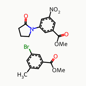 COC(=O)c1cc(C)cc(Br)c1.COC(=O)c1cc(N2CCCC2=O)cc([N+](=O)[O-])c1